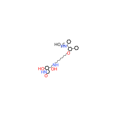 O=C(O)NC(c1ccccc1)c1cc(OCCCCCCCCCNC[C@H](O)c2ccc(O)c3[nH]c(=O)ccc23)cc(-c2ccccc2)c1